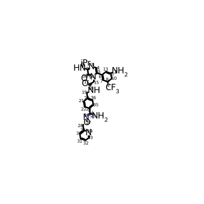 CC(C)Nc1ncc(C2=CC(C(F)(F)F)CC(N)=C2)n(CC(=O)NCc2ccc(/C(N)=N/OCc3ccccn3)cc2)c1=O